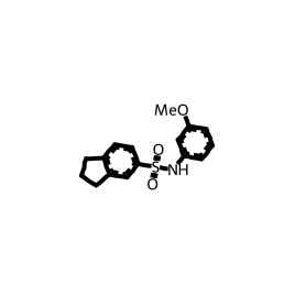 COc1cccc(NS(=O)(=O)c2ccc3c(c2)CCC3)c1